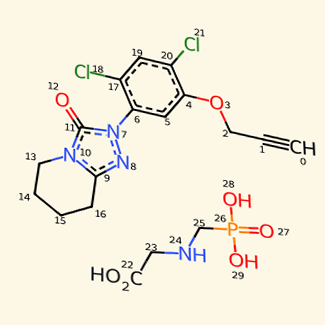 C#CCOc1cc(-n2nc3n(c2=O)CCCC3)c(Cl)cc1Cl.O=C(O)CNCP(=O)(O)O